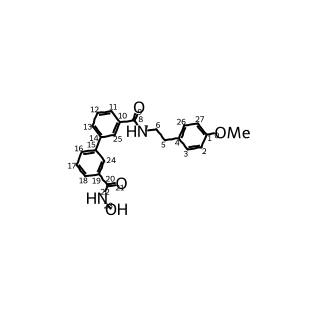 COc1ccc(CCNC(=O)c2cccc(-c3cccc(C(=O)NO)c3)c2)cc1